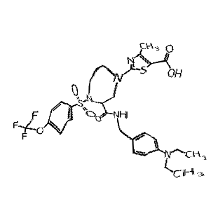 CCN(CC)c1ccc(CNC(=O)C2CN(c3nc(C)c(C(=O)O)s3)CCN2S(=O)(=O)c2ccc(OC(F)(F)F)cc2)cc1